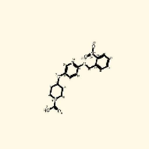 O=C(O)N1CCC(Oc2ccc(OCc3ccccc3[N+](=O)[O-])nc2)CC1